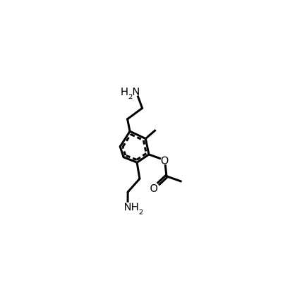 CC(=O)Oc1c(CCN)ccc(CCN)c1C